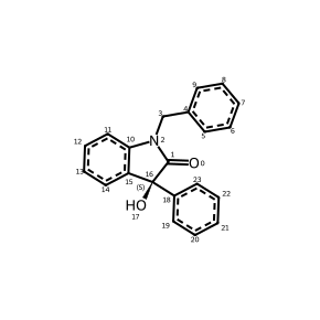 O=C1N(Cc2ccccc2)c2ccccc2[C@@]1(O)c1ccccc1